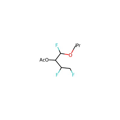 CC(=O)OC(C(F)CF)C(F)OC(C)C